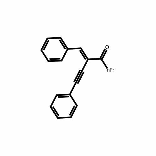 CCCC(=O)/C(C#Cc1ccccc1)=C/c1ccccc1